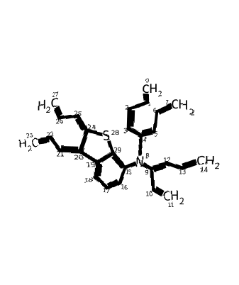 C=C/C=C\C(=C/C=C)N(/C(C=C)=C/C=C)c1cccc2c(=C/C=C)/c(=C\C=C)sc12